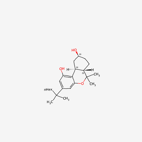 CCCCCCC(C)(C)c1cc(O)c2c(c1)OC(C)(C)[C@H]1CC[C@H](O)C[C@H]21